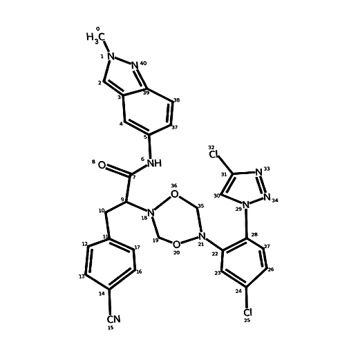 Cn1cc2cc(NC(=O)C(Cc3ccc(C#N)cc3)N3CON(c4cc(Cl)ccc4-n4cc(Cl)nn4)CO3)ccc2n1